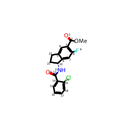 COC(=O)c1cc2c(cc1F)[C@H](NC(=O)c1ccccc1Cl)CC2